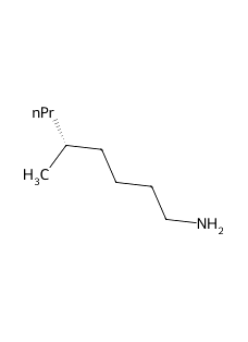 CCC[C@@H](C)CCCCN